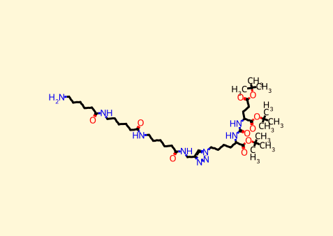 CC(C)(C)OC(=O)CCC(NC(=O)NC(CCCCn1cc(CNC(=O)CCCCCNC(=O)CCCCCNC(=O)CCCCCN)nn1)C(=O)OC(C)(C)C)C(=O)OC(C)(C)C